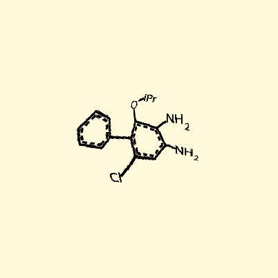 CC(C)Oc1c(N)c(N)cc(Cl)c1-c1ccccc1